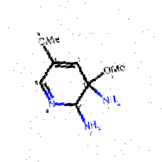 COC1=CC(N)(OC)C(N)N=C1